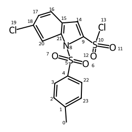 Cc1ccc(S(=O)(=O)n2c(S(=O)(=O)Cl)cc3ccc(Cl)cc32)cc1